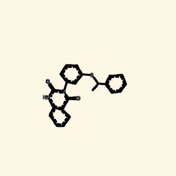 CC(Sc1cccc(-n2c(=O)[nH]c3ccccc3c2=O)c1)c1ccccc1